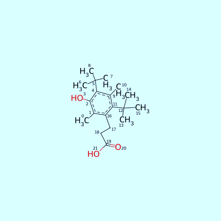 Cc1c(O)c(C(C)(C)C)c(C)c(C(C)(C)C)c1CCC(=O)O